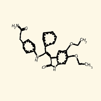 CCOc1cc2c(cc1OCC)/C(=C(/Nc1ccc(CC(N)=O)cc1)c1ccccc1)C(=O)N2